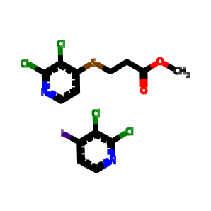 COC(=O)CCSc1ccnc(Cl)c1Cl.Clc1nccc(I)c1Cl